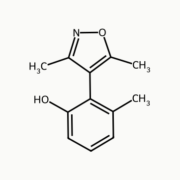 Cc1cccc(O)c1-c1c(C)noc1C